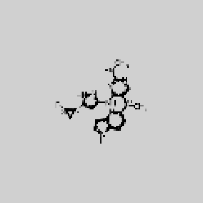 CNc1ncc([C@@H](C)c2ccc3[nH]ccc3n2)c(Nc2cc([C@@H]3C[C@@H]3F)[nH]n2)n1